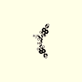 NCC(=O)N(CCCNCCN1C(=O)c2cccc3c(N4CCOCC4)ccc(c23)C1=O)CCN1C(=O)c2cccc3c(N4CCOCC4)ccc(c23)C1=O